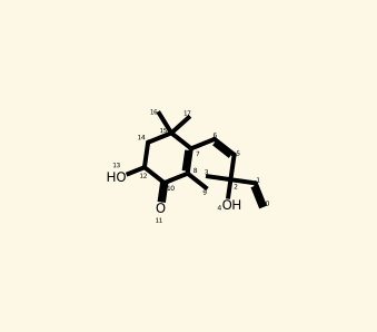 C=CC(C)(O)/C=C\C1=C(C)C(=O)C(O)CC1(C)C